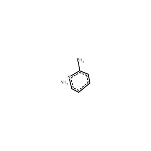 Bc1ccccn1.N